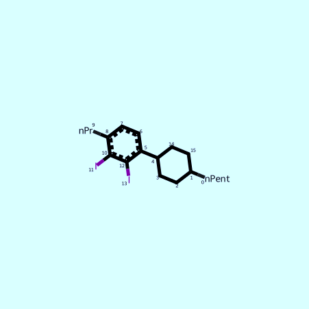 CCCCCC1CCC(c2ccc(CCC)c(I)c2I)CC1